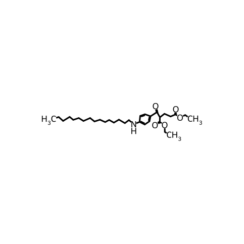 CCCCCCCCCCCCCCCCNc1ccc(C(=O)C(CCC(=O)OCC)C(=O)OCC)cc1